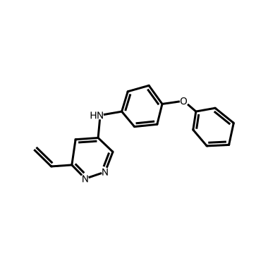 C=Cc1cc(Nc2ccc(Oc3ccccc3)cc2)cnn1